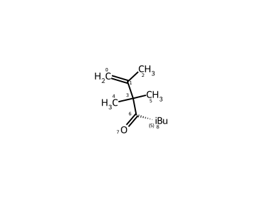 C=C(C)C(C)(C)C(=O)[C@@H](C)CC